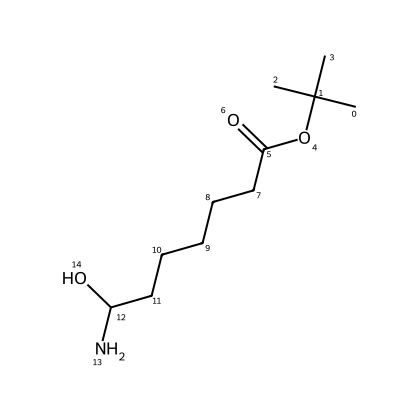 CC(C)(C)OC(=O)CCCCCC(N)O